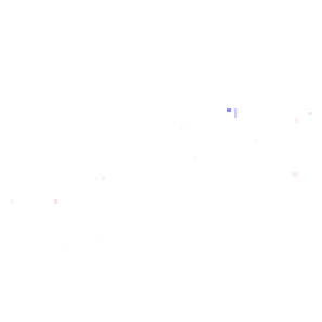 Cc1nc(C(=O)O)ccc1OC1CN(C(=O)OC(C)(C)C)C1